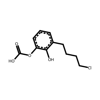 O=C(O)Oc1cccc(CCCCCl)c1O